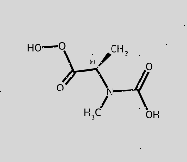 C[C@H](C(=O)OO)N(C)C(=O)O